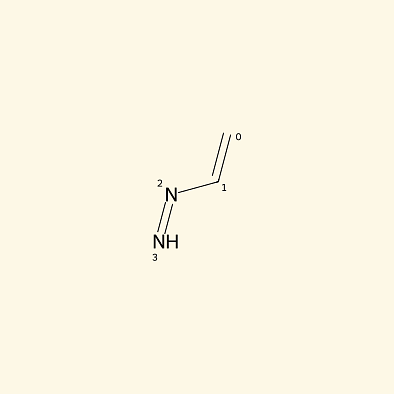 C=CN=N